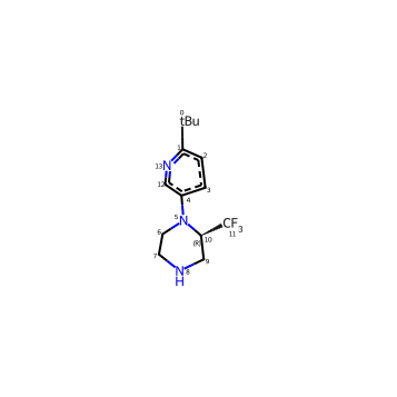 CC(C)(C)c1ccc(N2CCNC[C@@H]2C(F)(F)F)cn1